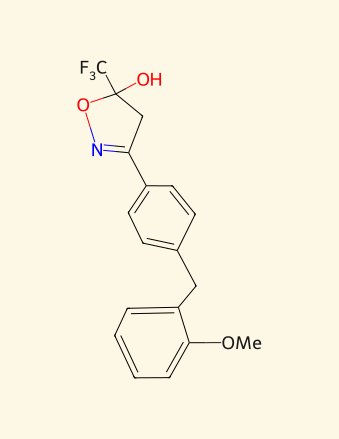 COc1ccccc1Cc1ccc(C2=NOC(O)(C(F)(F)F)C2)cc1